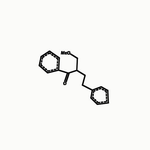 COCC(CCc1ccccc1)C(=O)c1ccccc1